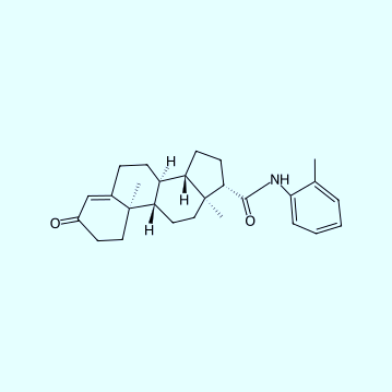 Cc1ccccc1NC(=O)[C@H]1CC[C@H]2[C@@H]3CCC4=CC(=O)CC[C@]4(C)[C@H]3CC[C@]12C